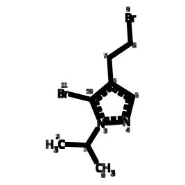 CC(C)n1ncc(CCBr)c1Br